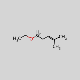 CCO[SiH2]CC=C(C)C